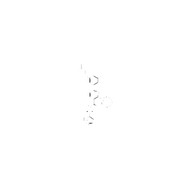 CC(C)COc1cc(F)cc(-c2ccc(C(=O)NS(=O)(=O)c3ccn[nH]3)c(N3CCCCCC3)n2)c1